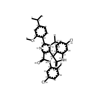 COc1cc(C(C)C)ccc1-c1nc2c(n1C(C)C)[C@@]1(C(=O)Nc3cc(Cl)ccc31)N(c1cc(Cl)ccc1C)C2=O